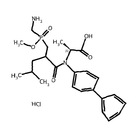 COP(=O)(CN)CC(CC(C)C)C(=O)N(c1ccc(-c2ccccc2)cc1)[C@@H](C)C(=O)O.Cl